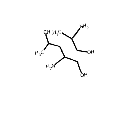 CC(C)CC(N)CO.CC(N)CO